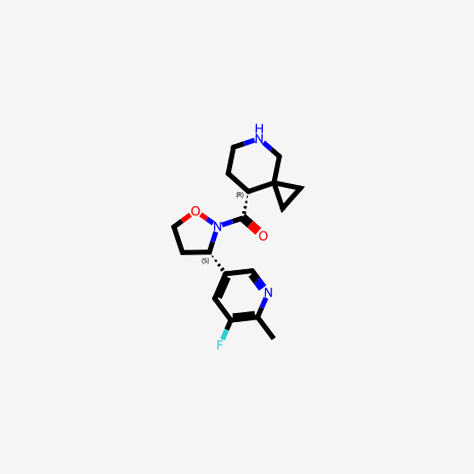 Cc1ncc([C@@H]2CCON2C(=O)[C@@H]2CCNCC23CC3)cc1F